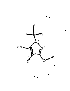 COc1nn(C(C)(C)C)c(I)c1C